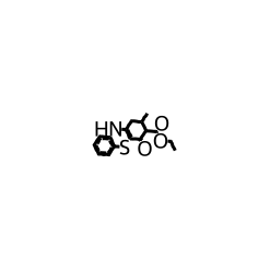 CCOC(=O)C1C(=O)C2=C(CC1C)Nc1ccccc1S2